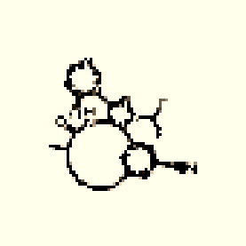 CC1CCCCc2cc(C#N)cc(c2)-c2c(c(-n3cnccc3=O)nn2C(F)F)NC1=O